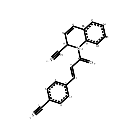 N#Cc1ccc(C=CC(=O)N2c3ccccc3C=CC2C#N)cc1